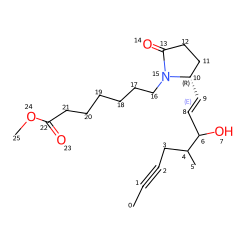 CC#CCC(C)C(O)/C=C/[C@H]1CCC(=O)N1CCCCCCC(=O)OC